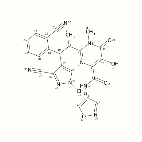 CC(c1nc(C(=O)Nc2cnoc2)c(O)c(=O)n1C)C(c1ccccc1C#N)c1cn(C)nc1C#N